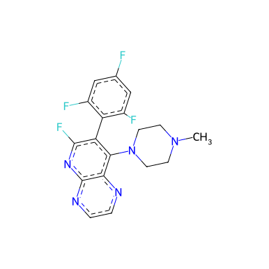 CN1CCN(c2c(-c3c(F)cc(F)cc3F)c(F)nc3nccnc23)CC1